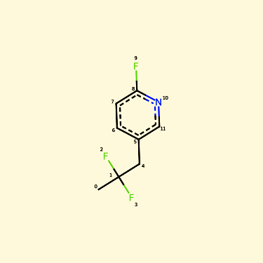 CC(F)(F)Cc1ccc(F)nc1